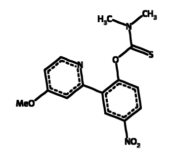 COc1ccnc(-c2cc([N+](=O)[O-])ccc2OC(=S)N(C)C)c1